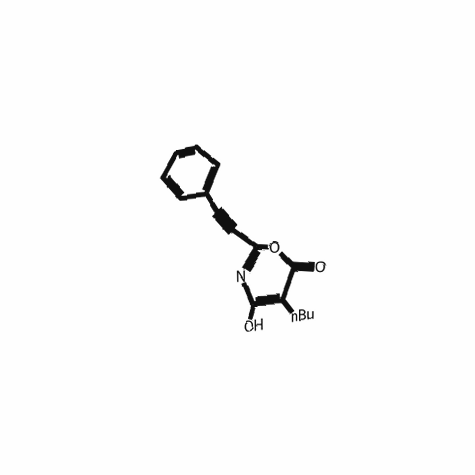 CCCCc1c(O)nc(C#Cc2ccccc2)oc1=O